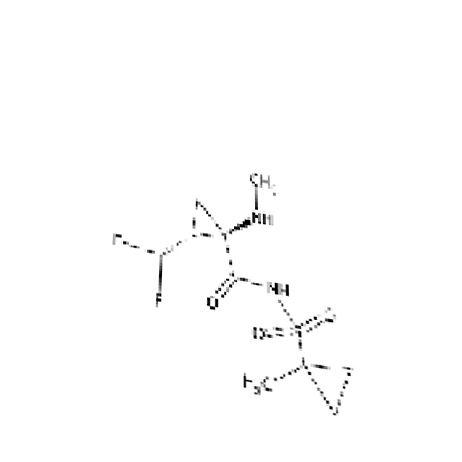 CN[C@]1(C(=O)NS(=O)(=O)C2(C)CC2)C[C@H]1C(F)F